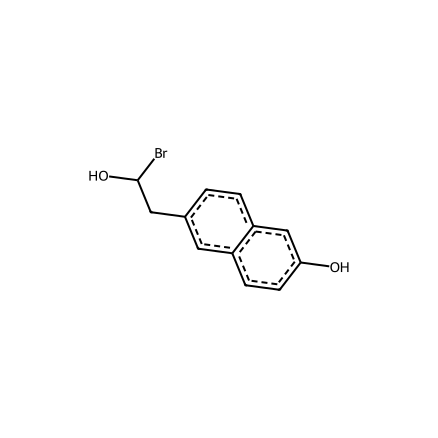 Oc1ccc2cc(CC(O)Br)ccc2c1